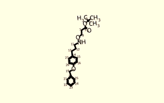 CC(C)(C)OC(=O)CCONCCCc1ccc(OCc2ccccc2)cc1